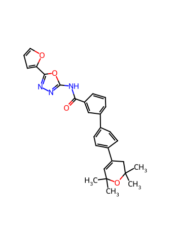 CC1(C)C=C(c2ccc(-c3cccc(C(=O)Nc4nnc(-c5ccco5)o4)c3)cc2)CC(C)(C)O1